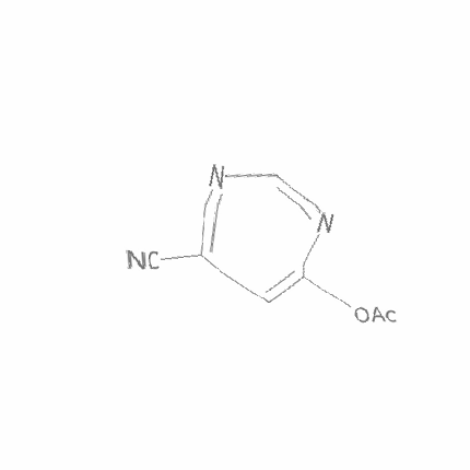 CC(=O)Oc1cc(C#N)ncn1